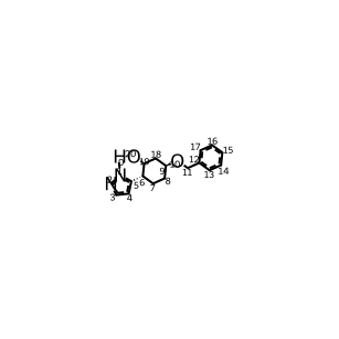 Cn1nccc1[C@H]1CC[C@H](OCc2ccccc2)C[C@@H]1O